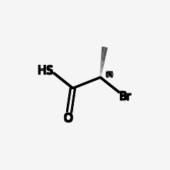 C[C@H](Br)C(=O)S